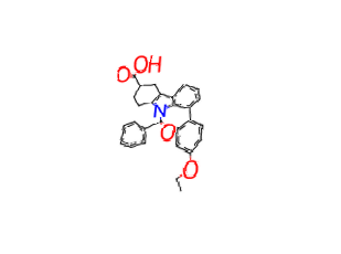 CCOc1ccc(-c2cccc3c4c(n(C(=O)c5ccccc5)c23)CCC(C(=O)O)C4)cc1